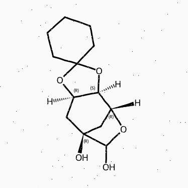 OC1O[C@@H]2C[C@@]1(O)C[C@H]1OC3(CCCCC3)O[C@@H]21